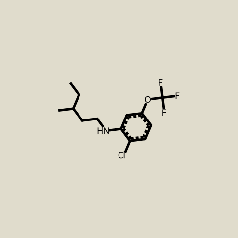 CCC(C)CCNc1cc(OC(F)(F)F)ccc1Cl